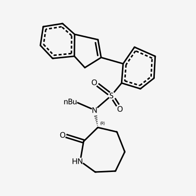 CCCCN([C@@H]1CCCCNC1=O)S(=O)(=O)c1ccccc1C1=Cc2ccccc2C1